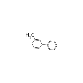 CC1=CC(c2ccccc2)C=CC1